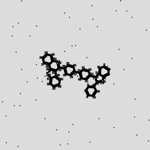 c1ccc(-c2nc3ccccc3n2-c2ccc(-c3ccc(-c4nc5ccccc5c5sc6ccccc6c45)cc3)cc2)cc1